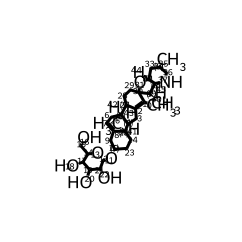 CC1=C2C[C@H]3[C@@H](CC=C4C[C@@H](OC5OC(CO)C(O)C(O)C5O)CC[C@@]43C)[C@@H]2CCC12O[C@@H]1C[C@H](C)CN[C@H]1[C@H]2C